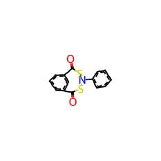 O=C1SN(c2ccccc2)SC(=O)c2cccc1c2